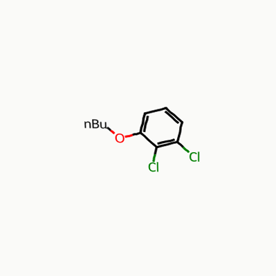 [CH2]CCCOc1cccc(Cl)c1Cl